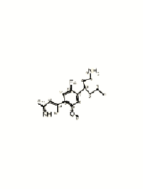 CCCC(CCN)c1cc(OC)c(/C(C)=C/C(C)=N)cc1F